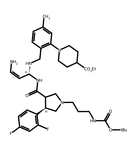 CCOC(=O)C1CCN(c2cc(C)ccc2CN[C@@H](/C=C\N)NC(=O)C2CN(CCCNC(=O)OC(C)(C)C)C[C@H]2c2ccc(F)cc2F)CC1